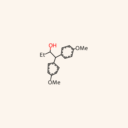 CCC(O)C(c1ccc(OC)cc1)c1ccc(OC)cc1